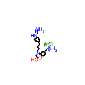 Cl.Cl.NN=CNc1ccc(CCCCN(CC(=O)O)c2cccc(C=NN)c2)cc1